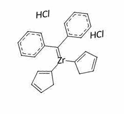 C1=CC[C]([Zr]([C]2=CC=CC2)=[C](c2ccccc2)c2ccccc2)=C1.Cl.Cl